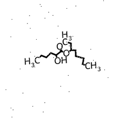 CCCCCC(CC)OC(=O)C(O)CCCC